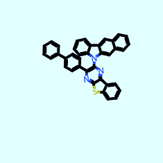 c1ccc(-c2ccc(-c3nc4sc5ccccc5c4nc3-n3c4ccccc4c4cc5ccccc5cc43)cc2)cc1